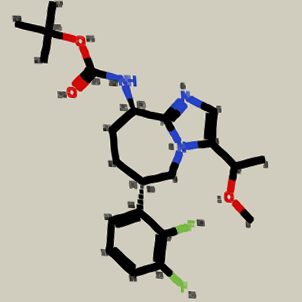 COC(C)c1cnc2n1C[C@H](c1cccc(F)c1F)CC[C@H]2NC(=O)OC(C)(C)C